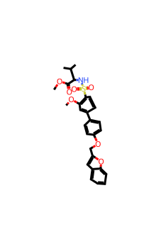 COC(=O)C(NS(=O)(=O)c1ccc(-c2ccc(OCc3cc4ccccc4o3)cc2)cc1OC)C(C)C